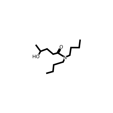 CCCCN(CCCC)C(=O)CCC(C)O